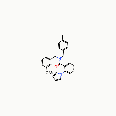 COc1cccc(CN(Cc2ccc(C)cc2)C(=O)c2ccccc2-n2cccc2)c1